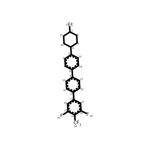 CCC1CCC(c2ccc(-c3ccc(-c4cc(F)c(C(F)(F)F)c(F)c4)cc3)cc2)CC1